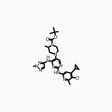 Cc1nc(Nc2ncc(N3CCN(C(=O)OC(C)(C)C)C(C)C3)c(Nc3cnn(C)n3)n2)cc(C2CC2)c1Cl